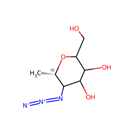 C[C@@H]1OC(CO)C(O)C(O)C1N=[N+]=[N-]